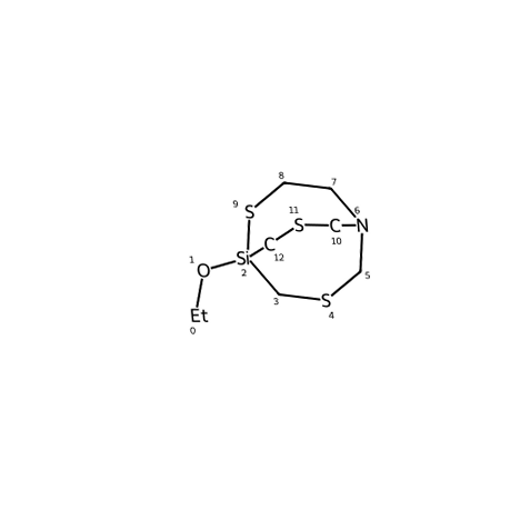 CCO[Si]12CSCN(CCS1)CSC2